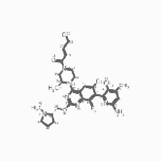 Cc1cc(N)nc(-c2c(Cl)cc3c(N4CCN(C(=O)/C=C/CCl)C[C@@H]4C)nc(OC[C@@H]4CCCN4C)nc3c2F)c1C